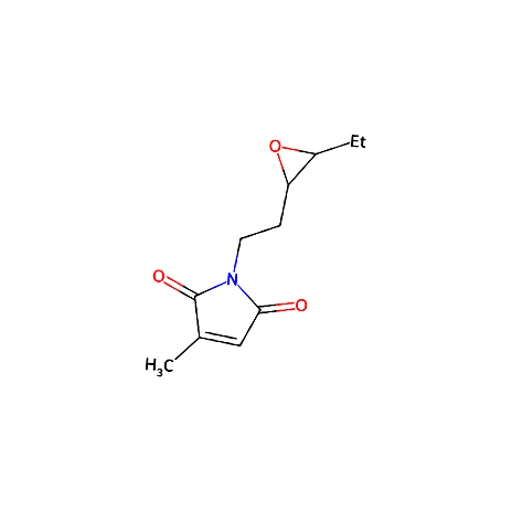 CCC1OC1CCN1C(=O)C=C(C)C1=O